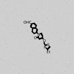 CCc1csc(COc2ccn(C3=Cc4ccc(C=O)cc4CC3)c(=O)c2)n1